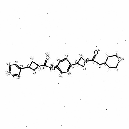 O=C(CC1CCOCC1)N1CC(c2ccc(NC(=O)N3CC(c4cccnc4)C3)cc2)C1